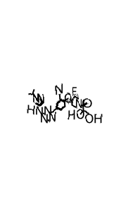 CC(C)n1cc(Nc2ncnc(-c3ccc(O[C@H]4CCN(C(=O)C(O)CO)C[C@H]4F)c(C#N)c3)n2)cn1